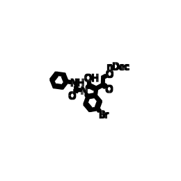 CCCCCCCCCCOCC(=O)c1c(O)n(C(=O)Nc2ccccc2)c2ccc(Br)cc12